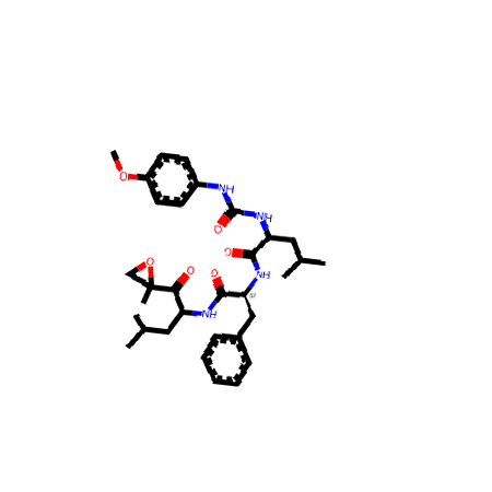 COc1ccc(NC(=O)NC(CC(C)C)C(=O)N[C@@H](Cc2ccccc2)C(=O)NC(CC(C)C)C(=O)C2(C)CO2)cc1